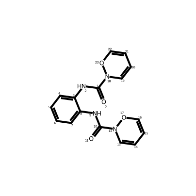 O=C(Nc1ccccc1NC(=O)N1C=CC=CO1)N1C=CC=CO1